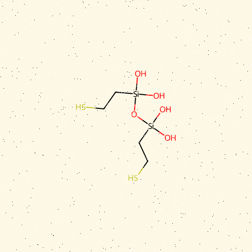 O[Si](O)(CCS)O[Si](O)(O)CCS